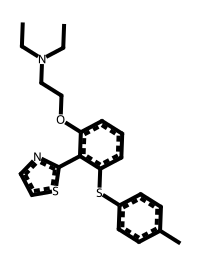 CCN(CC)CCOc1cccc(Sc2ccc(C)cc2)c1-c1nccs1